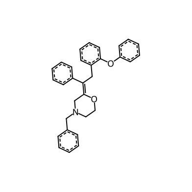 c1ccc(CN2CCOC(=C(Cc3ccccc3Oc3ccccc3)c3ccccc3)C2)cc1